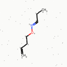 C=CCCO/N=[C]/CC